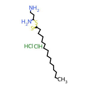 CCCCCCCCCCCCCCCC(=S)SC(N)CCN.Cl.Cl